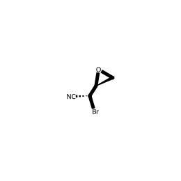 N#C[C@@H](Br)[C@@H]1CO1